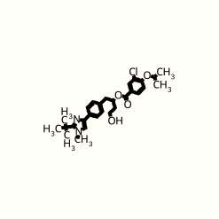 CC(C)Oc1ccc(C(=O)OC(CCO)Cc2ccc(-c3cn(C)c(C(C)(C)C)n3)cc2)cc1Cl